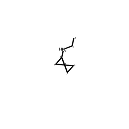 CCNC1CC12CC2